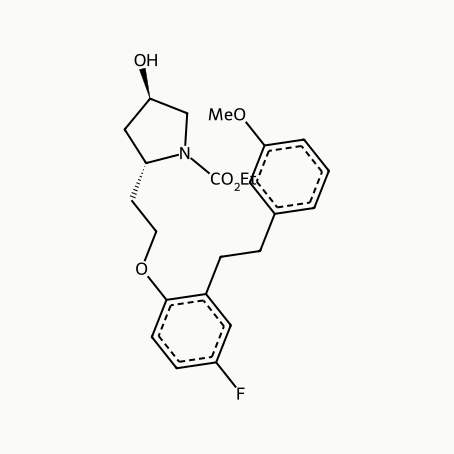 CCOC(=O)N1C[C@H](O)C[C@H]1CCOc1ccc(F)cc1CCc1cccc(OC)c1